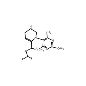 COc1nc(C)c(N2CNCC=C2C(OC(F)F)C(F)(F)F)c(C)n1